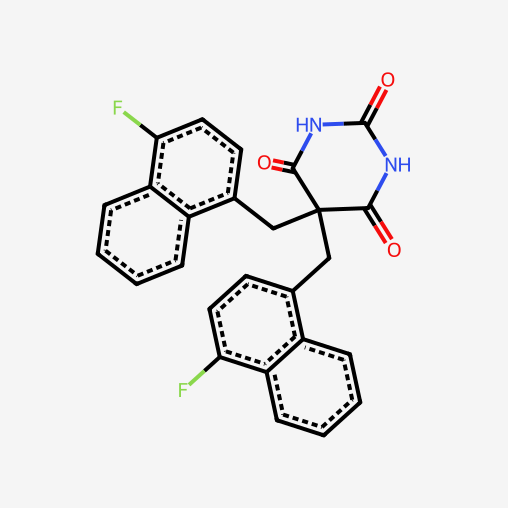 O=C1NC(=O)C(Cc2ccc(F)c3ccccc23)(Cc2ccc(F)c3ccccc23)C(=O)N1